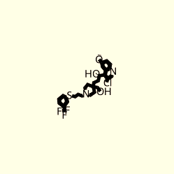 COc1ccc2ncc(Cl)c([C@@H](O)CCC3(CO)CCN(CCCSc4cccc(C(F)(F)F)c4)CC3)c2c1